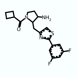 NC1CCN(C(=O)C2CCC2)C1Cc1csc(-c2cc(F)cc(F)c2)n1